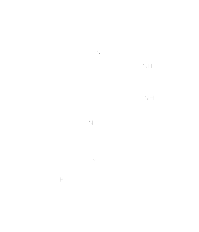 N#CC1=C(N)NC=C2CN(c3cccc(Br)c3Br)C=C21